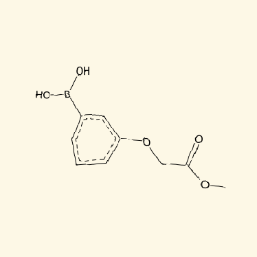 COC(=O)COc1cccc(B(O)O)c1